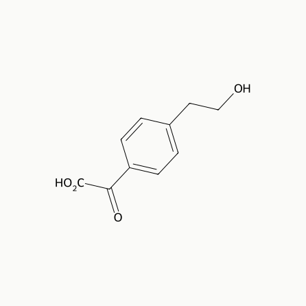 O=C(O)C(=O)c1ccc(CCO)cc1